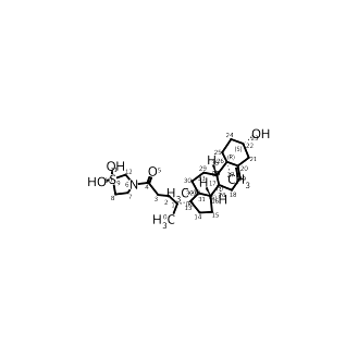 CC(CCC(=O)N1CCS(O)(O)C1)[C@H]1CC[C@H]2[C@@H]3CC=C4C[C@@H](O)CC[C@]4(C)[C@H]3CC[C@]12C